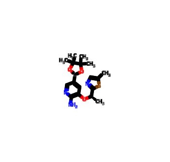 Cc1cnc([C@@H](C)Oc2cc(B3OC(C)(C)C(C)(C)O3)cnc2N)s1